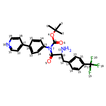 CC(C)(C)OC(=O)N(C(=O)[C@H](N)Cc1ccc(C(F)(F)F)cc1)c1ccc(-c2ccncc2)cc1